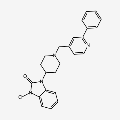 O=c1n(Cl)c2ccccc2n1C1CCN(Cc2ccnc(-c3ccccc3)c2)CC1